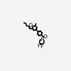 CCCc1cc2cc(-c3ccc(C(=O)N4CCC(F)(F)CC4)cc3)cc(C)c2o1